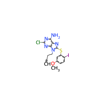 C#CCCn1c(Sc2cc(OC)ccc2I)nc2c(N)nc(Cl)nc21